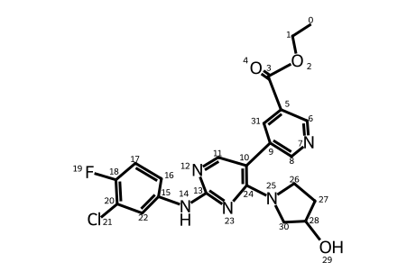 CCOC(=O)c1cncc(-c2cnc(Nc3ccc(F)c(Cl)c3)nc2N2CCC(O)C2)c1